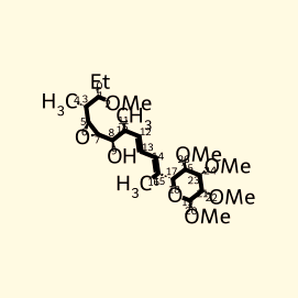 CC[C@H](OC)[C@@H](C)[C@@H]1O[C@H]1[C@H](O)[C@@H](C)/C=C/C=C(\C)[C@H]1O[C@H](OC)[C@@H](OC)[C@@H](OC)[C@@H]1OC